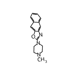 CN1CCN(c2nc3cc4ccccc4cc3o2)CC1